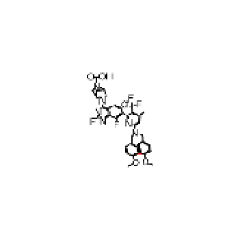 COc1ccc(CN(Cc2ccc(OC)cc2)c2cc(C)c(C(F)(F)F)c(-c3c(Cl)cc4c(N5CC6CC5CN6C(=O)O)nc(F)nc4c3F)n2)cc1